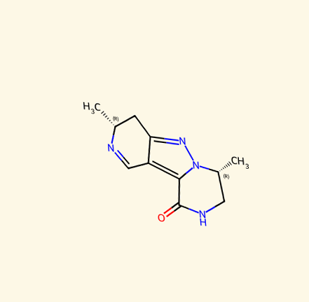 C[C@@H]1Cc2nn3c(c2C=N1)C(=O)NC[C@H]3C